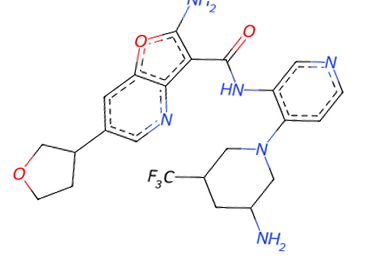 Nc1oc2cc(C3CCOC3)cnc2c1C(=O)Nc1cnccc1N1CC(N)CC(C(F)(F)F)C1